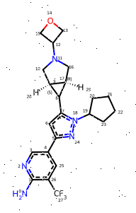 Nc1ncc(-c2cc(C3[C@H]4CN(C5COC5)C[C@@H]34)n(C3CCCC3)n2)cc1C(F)(F)F